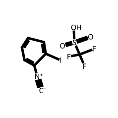 O=S(=O)(O)C(F)(F)F.[C-]#[N+]c1ccccc1I